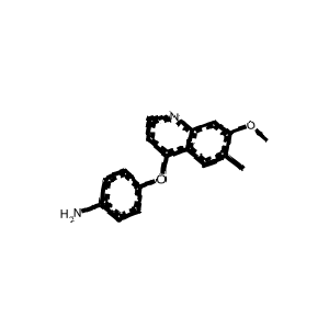 COc1cc2nccc(Oc3ccc(N)cc3)c2cc1C